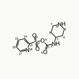 O=C(NC1CCNCC1)OS(=O)(=O)c1ccccn1